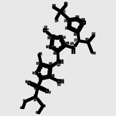 CCN(CC)S(=O)(=O)c1sc(C)c(Nc2n[s+]([O-])nc2N[C@@H](c2cc(C(C)(C)C)co2)C(C)C)c1O